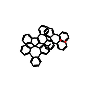 c1ccc(-c2ccccc2N(c2ccccc2)c2ccc3c(c2)C2(c4ccccc4-c4ccccc4-3)c3ccccc3-c3c2c2ccccc2c2ccccc32)cc1